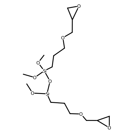 CO[Si](CCCOCC1CO1)O[Si](CCCOCC1CO1)(OC)OC